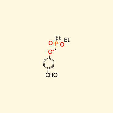 CCOP(=O)(CC)COc1ccc(C=O)cc1